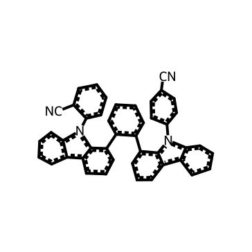 N#Cc1ccc(-n2c3ccccc3c3cccc(-c4ccccc4-c4cccc5c6ccccc6n(-c6ccccc6C#N)c45)c32)cc1